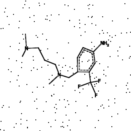 CN(C)CCCN(C)Cc1ccc(N)cc1C(F)(F)F